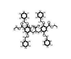 CCOC(=O)c1cc(OCc2ccccc2)c(CC(Cc2cc(OCc3ccccc3)c(C(=O)OCC)cc2OCc2ccccc2)C(N)=O)cc1OCc1ccccc1